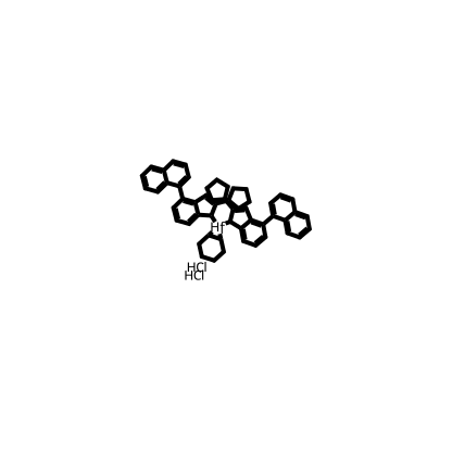 C1=C(C2CCCC2)[CH]([Hf]2([CH]3C(C4CCCC4)=Cc4c(-c5cccc6ccccc56)cccc43)[CH]3CCCC[CH]32)c2cccc(-c3cccc4ccccc34)c21.Cl.Cl